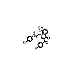 COc1cccc2c(=O)c(C(=O)c3ccc(F)cc3)cn(CC(=O)Nc3ccc(Cl)cc3)c12